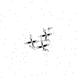 NS(=O)(=O)[O-].NS(=O)(=O)[O-].NS(=O)(=O)[O-].[Al+3]